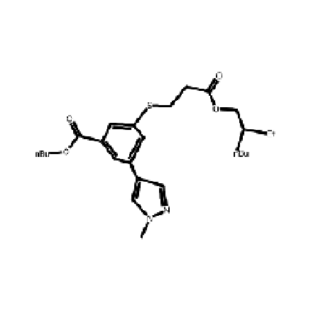 CCCCOC(=O)c1cc(SCCC(=O)OCC(CC)CCCC)cc(-c2cnn(C)c2)c1